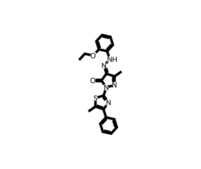 CCOc1ccccc1N/N=C1/C(=O)N(c2nc(-c3ccccc3)c(C)s2)N=C1C